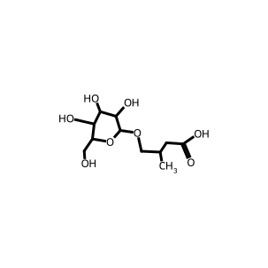 CC(COC1OC(CO)C(O)C(O)C1O)CC(=O)O